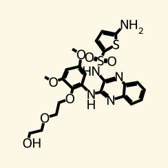 COc1cc(Nc2nc3ccccc3nc2NS(=O)(=O)c2ccc(N)s2)c(OCCOCCO)c(OC)c1